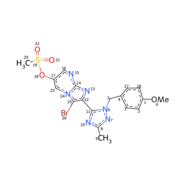 COc1ccc(Cn2nc(C)nc2-c2nc3ncc(OS(C)(=O)=O)cn3c2Br)cc1